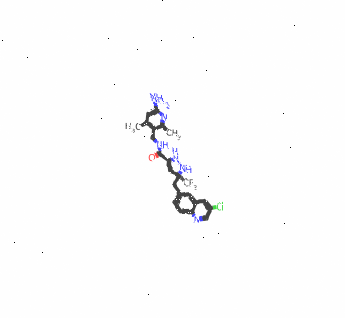 Cc1cc(N)nc(C)c1CNC(=O)C1=CC(Cc2ccc3ncc(Cl)cc3c2)(C(F)(F)F)NN1